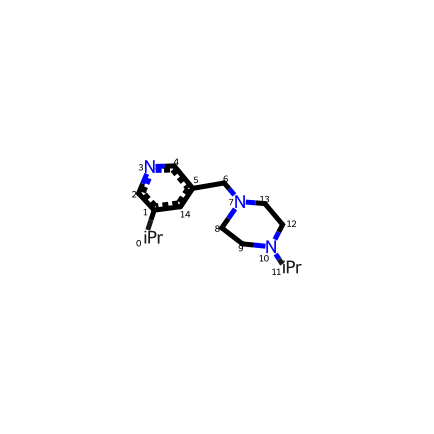 CC(C)c1cncc(CN2CCN(C(C)C)CC2)c1